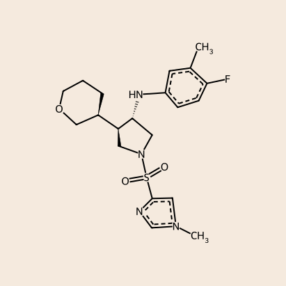 Cc1cc(N[C@@H]2CN(S(=O)(=O)c3cn(C)cn3)C[C@H]2[C@@H]2CCCOC2)ccc1F